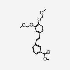 COCOc1ccc(C=Cc2cccc(C(=O)OC)c2)cc1OCOC